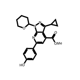 COC(=O)c1cc(-c2ccc(O)cc2)nc2c1c(C1CC1)nn2C1CCCCO1